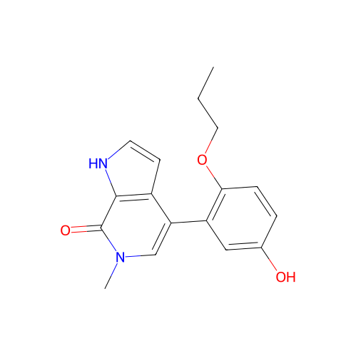 CCCOc1ccc(O)cc1-c1cn(C)c(=O)c2[nH]ccc12